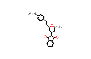 CNc1ccc(C=CC2=CC(=C3C(=O)c4ccccc4C3=O)C=C(C(C)(C)C)O2)cc1